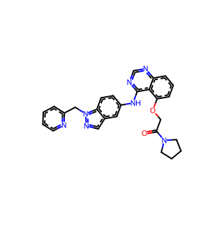 O=C(COc1cccc2ncnc(Nc3ccc4c(cnn4Cc4ccccn4)c3)c12)N1CCCC1